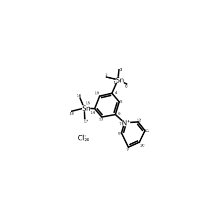 [CH3][Sn]([CH3])([CH3])[c]1cc(-[n+]2ccccc2)c[c]([Sn]([CH3])([CH3])[CH3])c1.[Cl-]